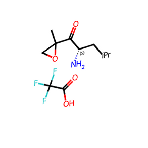 CC(C)C[C@H](N)C(=O)C1(C)CO1.O=C(O)C(F)(F)F